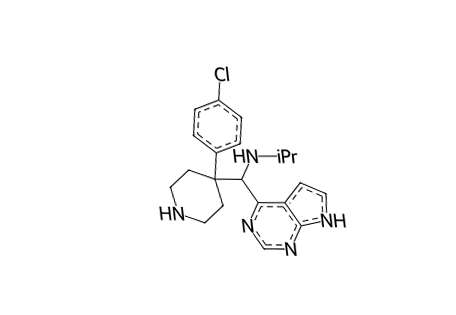 CC(C)NC(c1ncnc2[nH]ccc12)C1(c2ccc(Cl)cc2)CCNCC1